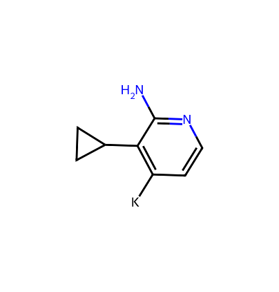 Nc1ncc[c]([K])c1C1CC1